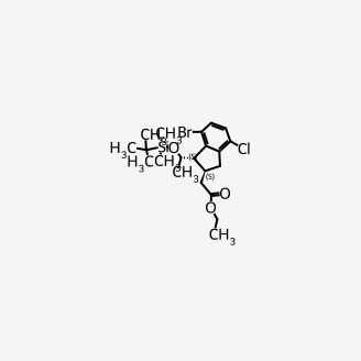 CCOC(=O)C[C@@H]1Cc2c(Cl)ccc(Br)c2[C@H]1C(C)O[Si](C)(C)C(C)(C)C